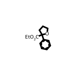 CCOC(=O)C1(c2ccccc2)CCCO1